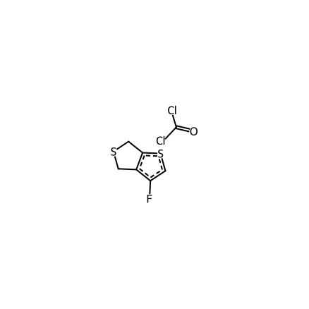 Fc1csc2c1CSC2.O=C(Cl)Cl